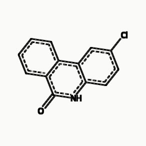 O=c1[nH]c2ccc(Cl)cc2c2ccccc12